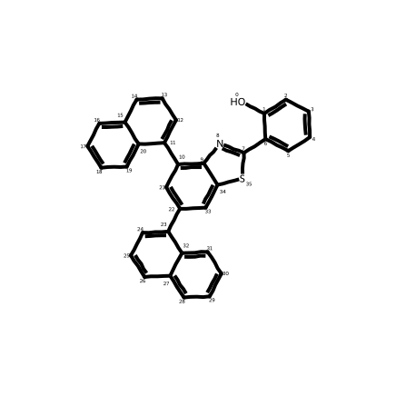 Oc1ccccc1-c1nc2c(-c3cccc4ccccc34)cc(-c3cccc4ccccc34)cc2s1